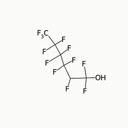 OC(F)(F)C(F)C(F)(F)C(F)(F)C(F)(F)C(F)(F)F